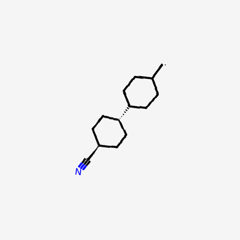 [CH2]C1CCC([C@H]2CC[C@H](C#N)CC2)CC1